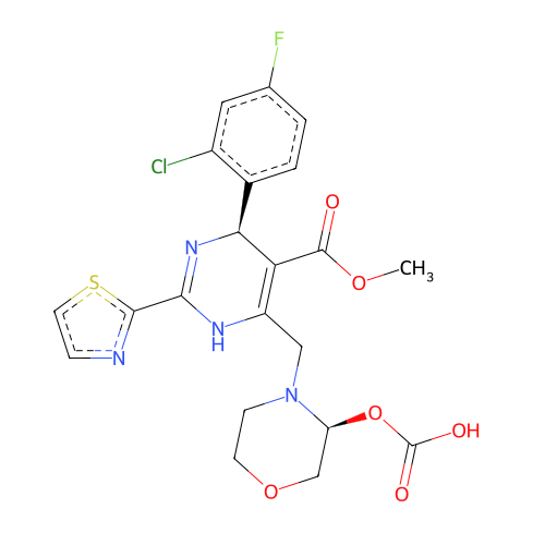 COC(=O)C1=C(CN2CCOC[C@@H]2OC(=O)O)NC(c2nccs2)=N[C@H]1c1ccc(F)cc1Cl